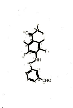 Cc1c(F)c(NSc2cccc(C=O)c2)c(F)c(C)c1C(=O)N(C)C